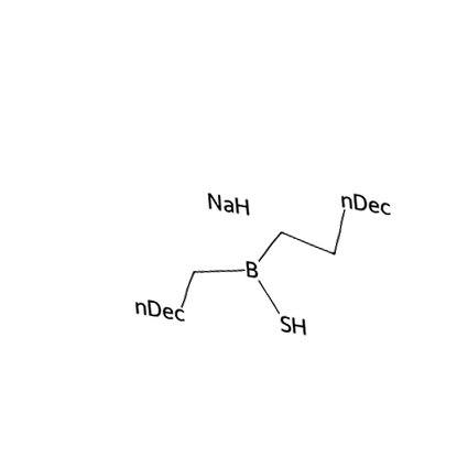 CCCCCCCCCCCCB(S)CCCCCCCCCCC.[NaH]